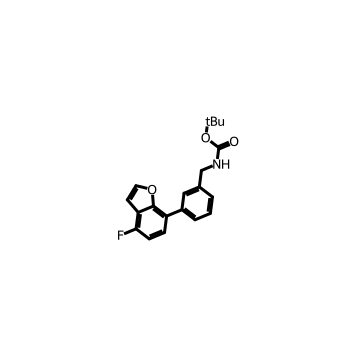 CC(C)(C)OC(=O)NCc1cccc(-c2ccc(F)c3ccoc23)c1